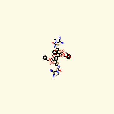 CCN1C(=O)/C(=N/c2cc3c(s2)C2=CC4C=C5C(=CC4C=C2C(C(=O)OCc2ccccc2)(C(=O)OCc2ccccc2)O3)c2sc(/N=C3\SC(=C(C#N)C#N)N(CC)C3=O)cc2OC5(C(=O)OCc2ccccc2)C(=O)OCc2ccccc2)SC1=C(C#N)C#N